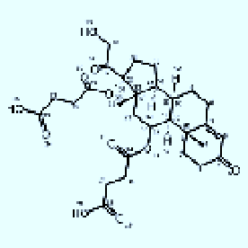 C[C@]12CCC(=O)C=C1CC[C@@H]1[C@@H]2[C@@H](OC(=O)CCC(=O)O)C[C@@]2(C)[C@H]1CC[C@]2(OC(=O)CCC(=O)O)C(=O)CO